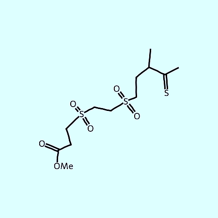 COC(=O)CCS(=O)(=O)CCS(=O)(=O)CCC(C)C(C)=S